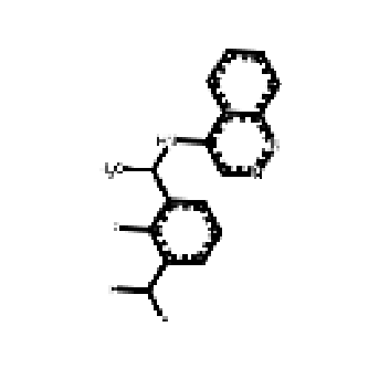 C[C@@H](Nc1cnnc2ccccc12)c1cccc(C(F)F)c1F